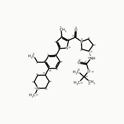 CCc1cc(-c2cc(C)c(C(=O)N3CC[C@H](NC(=O)OC(C)(C)C)C3)s2)ccc1C1CCN(C)CC1